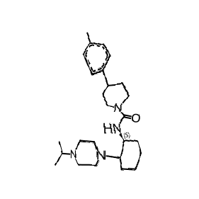 Cc1ccc(C2CCN(C(=O)N[C@H]3CCCCC3N3CCN(C(C)C)CC3)CC2)cc1